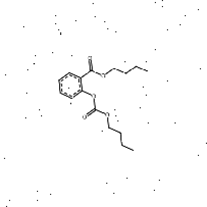 CCCCOC(=O)Oc1ccccc1C(=O)OCCCC